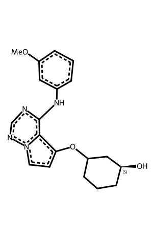 COc1cccc(Nc2ncnn3ccc(OC4CCC[C@H](O)C4)c23)c1